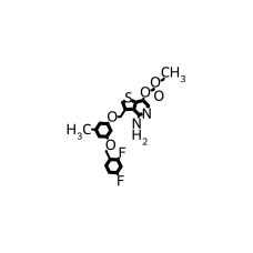 CCOC(=O)Oc1cnc(N)c2c(COc3cc(C)cc(OCc4ccc(F)cc4F)c3)csc12